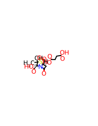 CC1(C)[C@H](C(=O)O)N2C(=O)C[C@H]2S1(=O)=O.O=C(O)CCC(=O)O